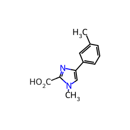 Cc1cccc(-c2cn(C)c(C(=O)O)n2)c1